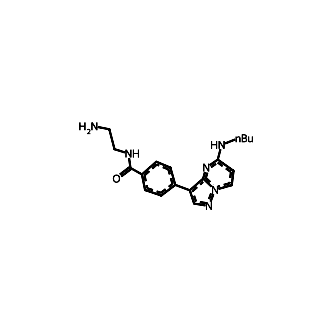 CCCCNc1ccn2ncc(-c3ccc(C(=O)NCCN)cc3)c2n1